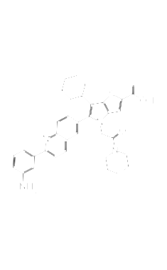 Nc1cccc(-c2ccc3cc(-c4c(C5CCCCC5)c5sc(C(=O)O)cc5n4CC(=O)N4CCSCC4)ccc3n2)c1